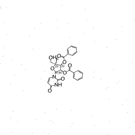 O=C(O[C@H]1[C@H](n2ccc(=O)[nH]c2=O)O[C@](F)(CO)[C@H]1OC(=O)c1ccccc1)c1ccccc1